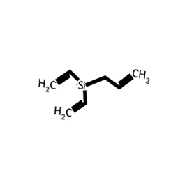 C=CC[Si](C=C)C=C